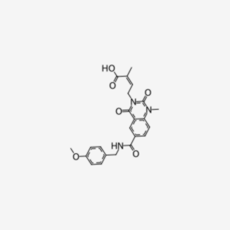 COc1ccc(CNC(=O)c2ccc3c(c2)c(=O)n(CC=C(C)C(=O)O)c(=O)n3C)cc1